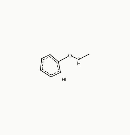 CPOc1ccccc1.I